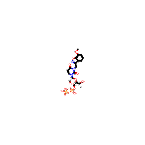 COc1cccc2c(Cn3c(=O)ccn([C@@H](CO)O[C@H](COP(=O)(O)OP(=O)(O)O)[C@@H](C)O)c3=O)noc12